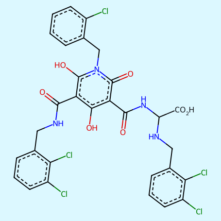 O=C(NCc1cccc(Cl)c1Cl)c1c(O)c(C(=O)NC(NCc2cccc(Cl)c2Cl)C(=O)O)c(=O)n(Cc2ccccc2Cl)c1O